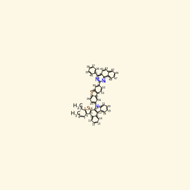 C=Cc1sc2c(c1/C=C\C)c1ccccc1c1c3ccccc3n(-c3ccc4sc5cc(-c6nc(-c7ccccc7)c7ccc8ccccc8c7n6)ccc5c4c3)c21